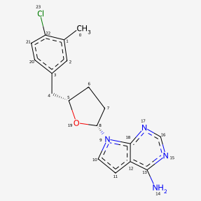 Cc1cc(C[C@@H]2CC[C@H](n3ccc4c(N)ncnc43)O2)ccc1Cl